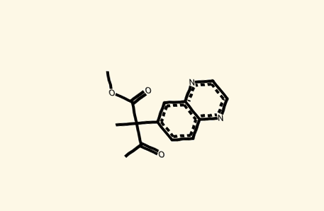 COC(=O)C(C)(C(C)=O)c1ccc2nccnc2c1